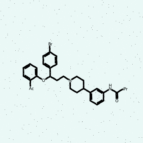 CC(=O)c1ccccc1OC(CCN1CCC(c2cccc(NC(=O)C(C)C)c2)CC1)c1ccc(Br)cc1